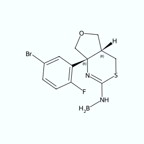 BNC1=N[C@]2(c3cc(Br)ccc3F)COC[C@@H]2CS1